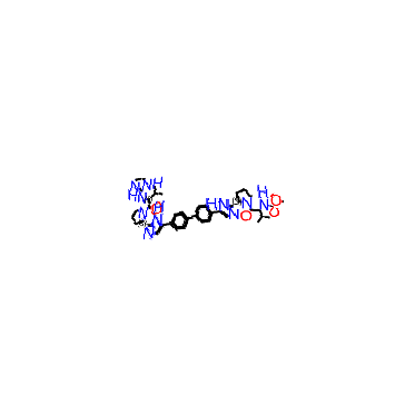 COC(=O)NC(C(=O)N1CCC[C@H]1c1ncc(-c2ccc(-c3ccc(-c4cnc([C@@H]5CCCN5C(=O)[C@@H](NC5=NCCN5)C(C)C)[nH]4)cc3)cc2)[nH]1)C(C)C